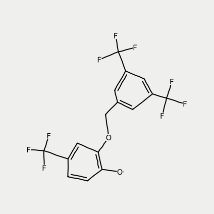 [O]c1ccc(C(F)(F)F)cc1OCc1cc(C(F)(F)F)cc(C(F)(F)F)c1